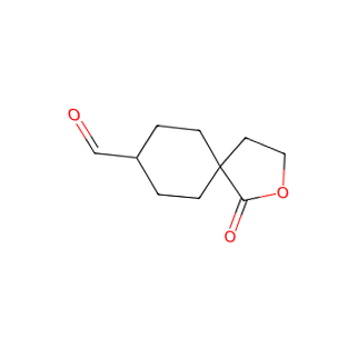 O=CC1CCC2(CCOC2=O)CC1